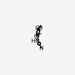 CC(C)(C)OC(=O)N1CC2CC(C1)C[N+]([O-])(CCCNc1ccc(C#N)cc1)C2